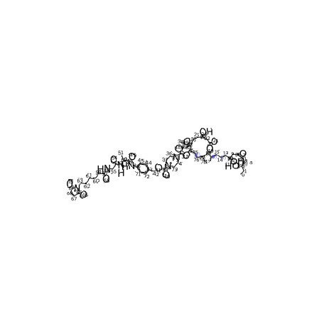 CC[C@H](O)[C@@H](C)[C@H]1O[C@@H]1C[C@@](C)(O)/C=C/C=C(\C)[C@H]1OC(=O)C[C@H](O)CC[C@@](C)(OC)[C@@H](OC(=O)N2CCN(C(=O)OCc3ccc(NC(=O)[C@H](C)NC(=O)CNC(=O)CCCCCN4C(=O)C=CC4=O)cc3)CC2)/C=C/[C@@H]1C